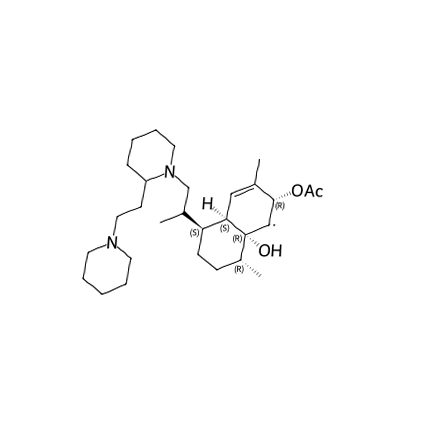 CC(=O)O[C@@H]1[CH][C@@]2(O)[C@H](C)CC[C@@H](C(C)CN3CCCCC3CCN3CCCCC3)[C@H]2C=C1C